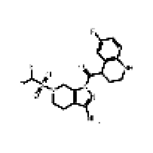 Nc1nn(C(=O)C2CCNc3ccc(F)cc32)c2c1CCN(S(=O)(=O)C(F)F)C2